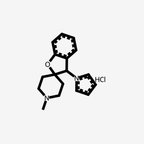 CN1CCC2(CC1)Oc1ccccc1C2n1cccc1.Cl